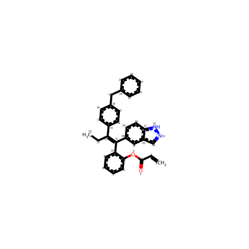 C=CC(=O)Oc1ccccc1/C(=C(\CC)c1ccc(Cc2ccccc2)cc1)c1ccc2[nH]ncc2c1